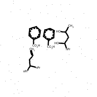 C=CCC(CCC)CCC.CCCC(O)CC(C)O.O=C(O)c1ccccc1.O=C(O)c1ccccc1